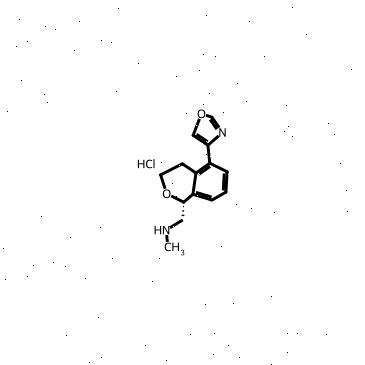 CNC[C@@H]1OCCc2c(-c3cocn3)cccc21.Cl